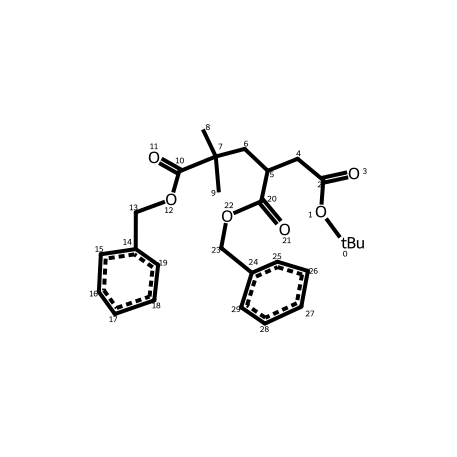 CC(C)(C)OC(=O)CC(CC(C)(C)C(=O)OCc1ccccc1)C(=O)OCc1ccccc1